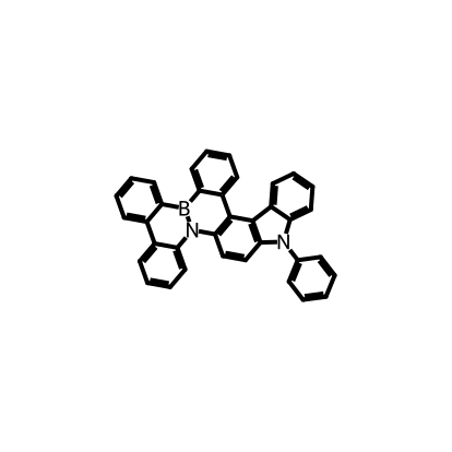 c1ccc(-n2c3ccccc3c3c4c(ccc32)N2B(c3ccccc3-c3ccccc32)c2ccccc2-4)cc1